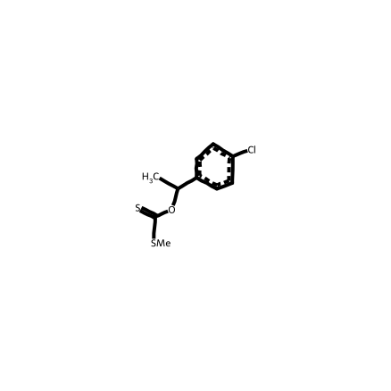 CSC(=S)OC(C)c1ccc(Cl)cc1